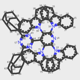 c1ccc2c(c1)c1ccccc1n2-c1nc(-n2c3ccccc3c3ccccc32)c(-n2c3ccccc3c3ccccc32)c(-c2nc(C34CC5CC(CC(C5)C3)C4)nc(C34CC5CC(CC(C5)C3)C4)n2)c1-n1c2ccccc2c2ccccc21